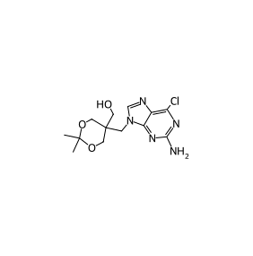 CC1(C)OCC(CO)(Cn2cnc3c(Cl)nc(N)nc32)CO1